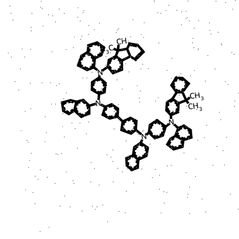 CC1(C)c2ccccc2-c2ccc(N(c3ccc(N(c4ccc(-c5ccc(N(c6ccc(N(c7ccc8c(c7)C(C)(C)C7C=CC=CC87)c7cccc8ccccc78)cc6)c6ccc7ccccc7c6)cc5)cc4)c4ccc5ccccc5c4)cc3)c3cccc4ccccc34)cc21